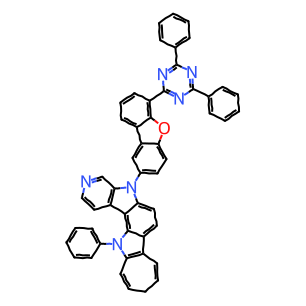 C1=Cc2c(n(-c3ccccc3)c3c2ccc2c3c3ccncc3n2-c2ccc3oc4c(-c5nc(-c6ccccc6)nc(-c6ccccc6)n5)cccc4c3c2)C=CC1